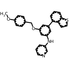 COc1ccc(COc2cc(Nc3cccnc3)cc(-c3cccc4sccc34)c2)cc1